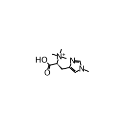 Cn1cnc(C[C@@H](C(=O)O)[N+](C)(C)C)c1